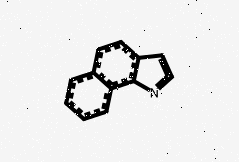 C1=Cc2ccc3ccccc3c2N=1